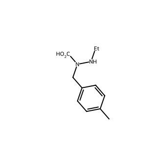 CCNN(Cc1ccc(C)cc1)C(=O)O